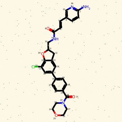 Nc1ccc(C=CC(=O)NCC2Cc3cc(-c4ccc(C(=O)N5CCOCC5)cc4)cc(Cl)c3O2)cn1